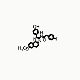 COc1ccc2c(c1)CCc1nc(NC(=O)Cc3ccc(I)cc3)c(-c3ccc(O)cc3)nc1-2